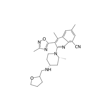 Cc1cc(C#N)c2nc(N3CC[C@@H](NCC4CCCO4)C[C@H]3C)c(-c3nc(C)no3)c(C)c2c1